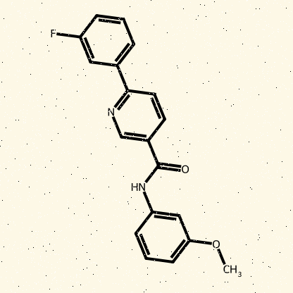 COc1cccc(NC(=O)c2ccc(-c3cccc(F)c3)nc2)c1